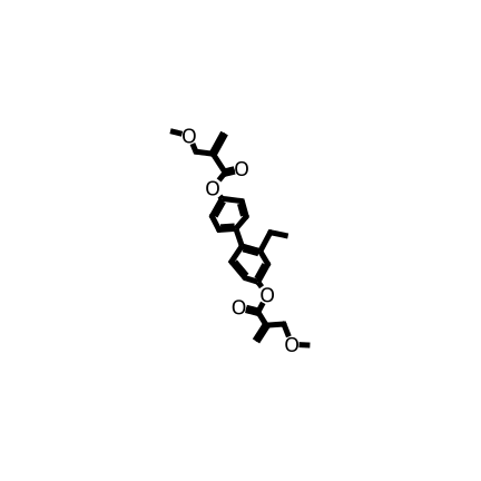 C=C(COC)C(=O)Oc1ccc(-c2ccc(OC(=O)C(=C)COC)cc2CC)cc1